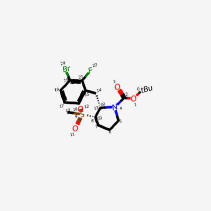 CC(C)(C)OC(=O)N1CCC[C@H](S(C)(=O)=O)[C@@H]1Cc1cccc(Br)c1F